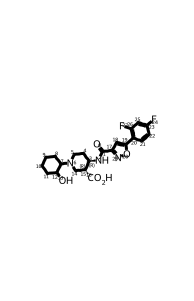 O=C(N[C@@H]1CCN(C2CCCCC2O)C[C@H]1C(=O)O)c1cc(-c2ccc(F)cc2F)on1